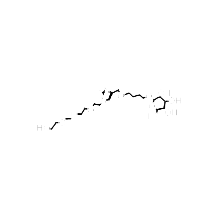 OCCOCCOCCOCCn1cc(COCCCCO[C@H]2OC(S)[C@@H](O)C(O)C2O)nn1